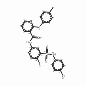 Cc1ccc(Sc2ncccc2C(=O)Nc2ccc(F)c(S(=O)(=O)Nc3ccc(Cl)cc3)c2)cc1